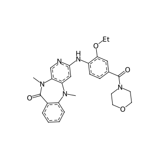 CCOc1cc(C(=O)N2CCOCC2)ccc1Nc1cc2c(cn1)N(C)C(=O)c1ccccc1N2C